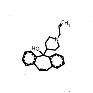 C=CCN1CCC(C2(O)c3ccccc3C=Cc3ccccc32)CC1